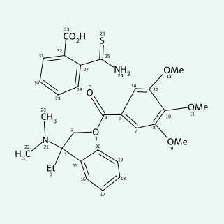 CCC(COC(=O)c1cc(OC)c(OC)c(OC)c1)(c1ccccc1)N(C)C.NC(=S)c1ccccc1C(=O)O